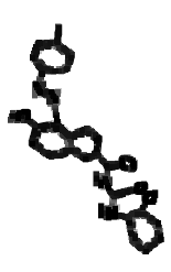 Cc1ccc(N=Nc2c(O)ccc3cc(C(=O)NC(=O)Nc4ccccc4Cl)ccc23)cc1